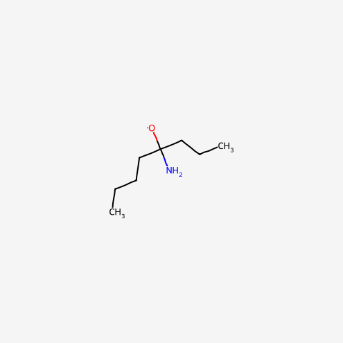 CCCCC(N)([O])CCC